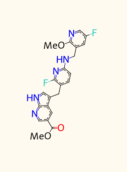 COC(=O)c1cnc2[nH]cc(Cc3ccc(NCc4cc(F)cnc4OC)nc3F)c2c1